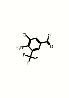 Nc1c(Cl)cc(C(=O)Cl)cc1C(F)(F)F